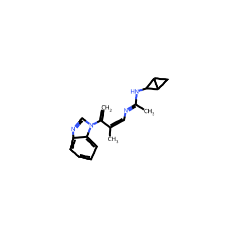 C=C(/C(C)=C\N=C(/C)NC1C2CC21)n1cnc2ccccc21